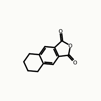 O=C1OC(=O)c2cc3c(cc21)CCCC3